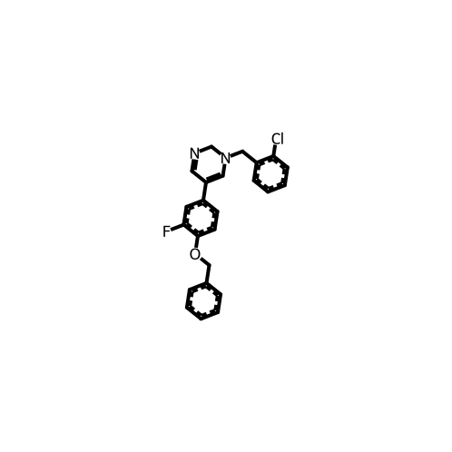 Fc1cc(C2=CN(Cc3ccccc3Cl)CN=C2)ccc1OCc1ccccc1